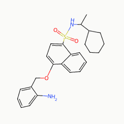 CC(NS(=O)(=O)c1ccc(OCc2ccccc2N)c2ccccc12)C1CCCCC1